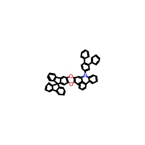 c1ccc2c(c#1)C1(c3cc4c(cc3-2)Oc2cc(N(c3ccc(-c5ccccc5)c(-c5ccccc5)c3)c3ccccc3-c3ccccc3)ccc2O4)c2ccccc2-c2ccccc21